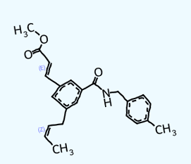 C/C=C\Cc1cc(/C=C/C(=O)OC)cc(C(=O)NCc2ccc(C)cc2)c1